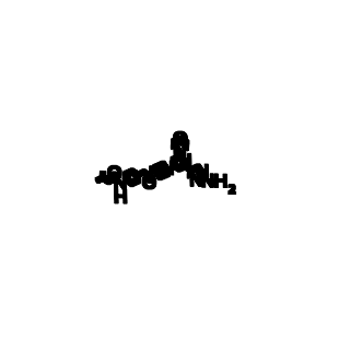 CC(C)=CC(=O)Nc1ccc(CC(=O)N2CCN(c3cc(-c4cnc(N)nc4)nc(N4CCOCC4)c3)CC2)cc1